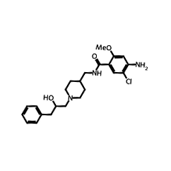 COc1cc(N)c(Cl)cc1C(=O)NCC1CCN(CC(O)Cc2ccccc2)CC1